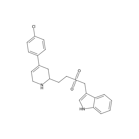 O=S(=O)(CCC1CC(c2ccc(Cl)cc2)=CCN1)Cc1c[nH]c2ccccc12